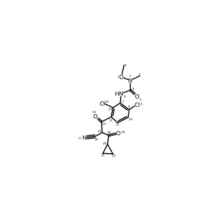 CON(C)C(=O)Nc1c(Cl)ccc(C(=O)C(C#N)C(=O)C2CC2)c1Cl